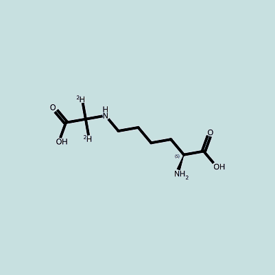 [2H]C([2H])(NCCCC[C@H](N)C(=O)O)C(=O)O